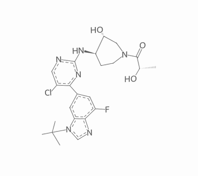 C[C@H](O)C(=O)N1CC[C@@H](Nc2ncc(Cl)c(-c3cc(F)c4ncn(C(C)(C)C)c4c3)n2)[C@H](O)C1